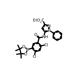 CCOC(=O)c1cc(NC(=O)c2cc(B3OC(C)(C)C(C)(C)O3)c(Cl)cc2Cl)n(-c2ccccc2)n1